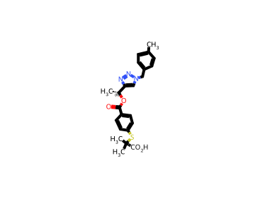 Cc1ccc(Cn2cc([C@@H](C)OC(=O)c3ccc(SC(C)(C)C(=O)O)cc3)nn2)cc1